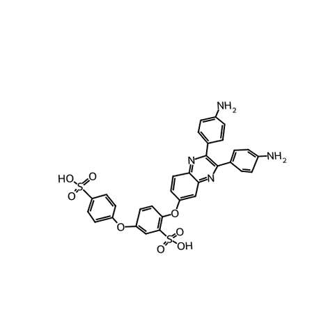 Nc1ccc(-c2nc3ccc(Oc4ccc(Oc5ccc(S(=O)(=O)O)cc5)cc4S(=O)(=O)O)cc3nc2-c2ccc(N)cc2)cc1